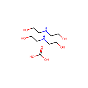 O=C(O)O.OCCNCCO.OCCNCCO